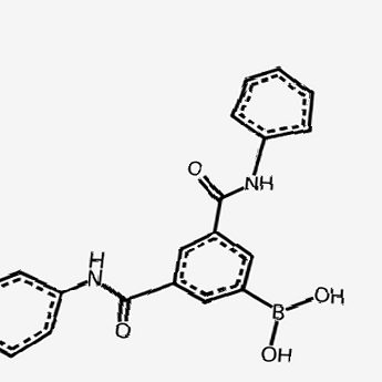 O=C(Nc1ccccc1)c1cc(B(O)O)cc(C(=O)Nc2ccccc2)c1